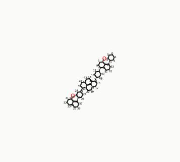 c1ccc2c(c1)Oc1ccc(-c3ccc(-c4ccc5ccc6c(-c7ccc8c(c7)Oc7cccc9cccc-8c79)ccc7ccc4c5c76)cc3)c3cccc-2c13